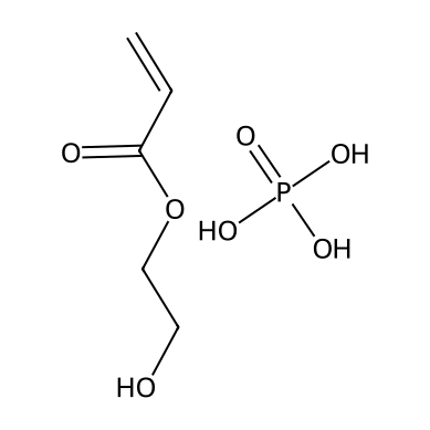 C=CC(=O)OCCO.O=P(O)(O)O